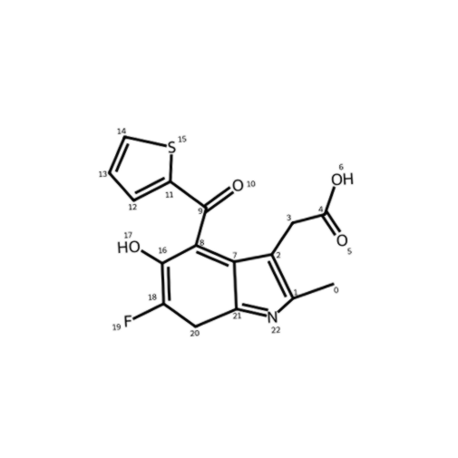 CC1=C(CC(=O)O)C2=C(C(=O)c3cccs3)C(O)=C(F)CC2=N1